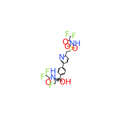 O=C(N[C@H](CF)[C@H](O)c1ccc(-c2ccc(CCS(=O)(=O)NC(=O)C(F)F)nc2)cc1)C(F)F